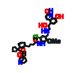 COc1cc(NC(=O)CCCc2cccc(C3(C(=O)O[C@H]4CN5CCC4CC5)CCCC3)c2)c(Cl)cc1CNC[C@H](O)c1ccc(O)c2[nH]c(=O)ccc12